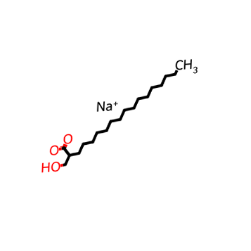 CCCCCCCCCCCCCCCCC(CO)C(=O)[O-].[Na+]